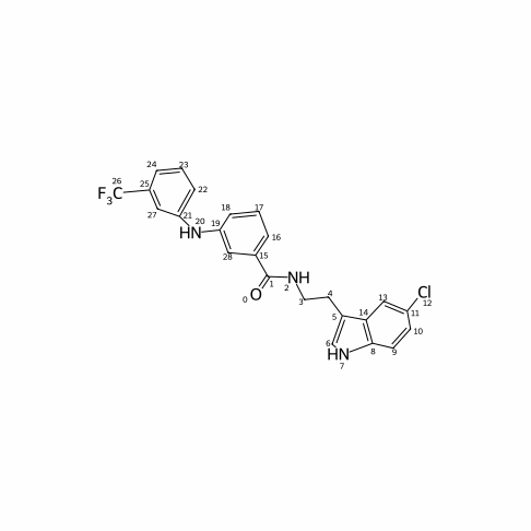 O=C(NCCc1c[nH]c2ccc(Cl)cc12)c1cccc(Nc2cccc(C(F)(F)F)c2)c1